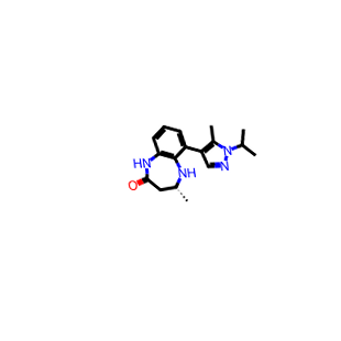 Cc1c(-c2cccc3c2N[C@H](C)CC(=O)N3)cnn1C(C)C